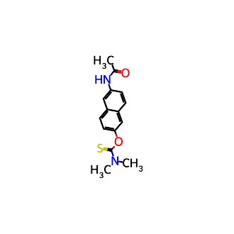 CC(=O)Nc1ccc2cc(OC(=S)N(C)C)ccc2c1